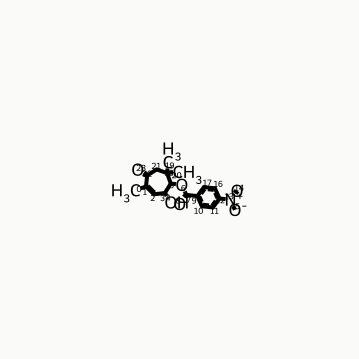 CC1=CC(O)C(OC(=O)c2ccc([N+](=O)[O-])cc2)C(C)(C)CC1=O